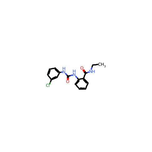 CCNC(=O)c1ccccc1NC(=O)Nc1cccc(Cl)c1